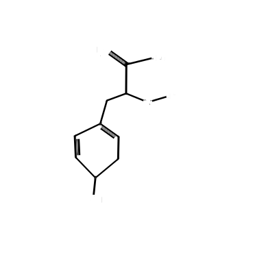 C=C(C(C)CC)C(CC1=CCC(C)C=C1)NC(C)C